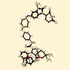 Cn1c(=O)n(C2CCC(=O)NC2=O)c2ccc(CN3CCN(C[C@H]4CC[C@H](NC(=O)[C@@H]5NC6(CCC(C)(C)CC6)[C@@]6(C(=O)Nc7cc(Cl)ccc76)[C@H]5c5ccnc(Cl)c5F)CC4)CC3)cc21